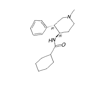 CN1CC[C@@H](NC(=O)C2CCCCC2)[C@H](c2ccccc2)C1